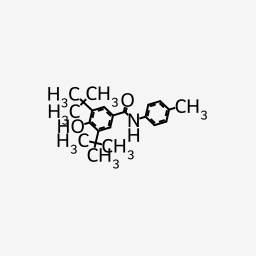 Cc1ccc(NC(=O)c2cc(C(C)(C)C)c(O)c(C(C)(C)C)c2)cc1